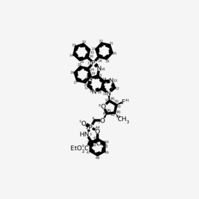 CCOC(=O)C(C)NP(=O)(CO[C@H]1O[C@@H](n2cnc3c(N=P(c4ccccc4)(c4ccccc4)c4ccccc4)ncnc32)[C@@H](F)[C@@H]1C)Oc1ccccc1